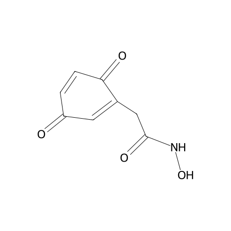 O=C1C=CC(=O)C(CC(=O)NO)=C1